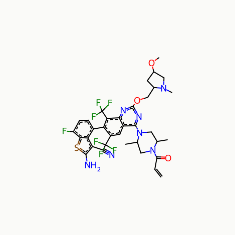 C=CC(=O)N1CC(C)N(c2nc(OCC3CC(OC)CN3C)nc3c(C(F)(F)F)c(-c4ccc(F)c5sc(N)c(C#N)c45)c(C(F)(F)F)cc23)CC1C